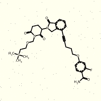 C[Si](C)(C)CCOCN1C(=O)CCC(N2Cc3c(C#CCCCOc4ccc(C(N)=O)c(F)c4)cccc3C2=O)C1=O